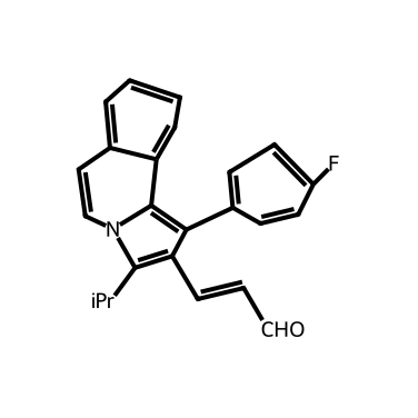 CC(C)c1c(C=CC=O)c(-c2ccc(F)cc2)c2c3ccccc3ccn12